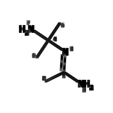 C/C(N)=N\C(C)(C)N